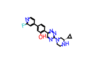 Oc1cc(-c2ccnc(F)c2)ccc1-c1cnc(N2CCN[C@@H](C3CC3)C2)nn1